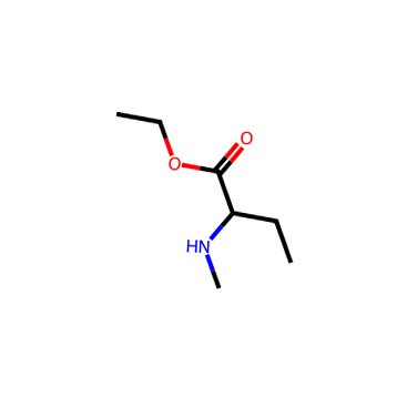 CCOC(=O)C(CC)NC